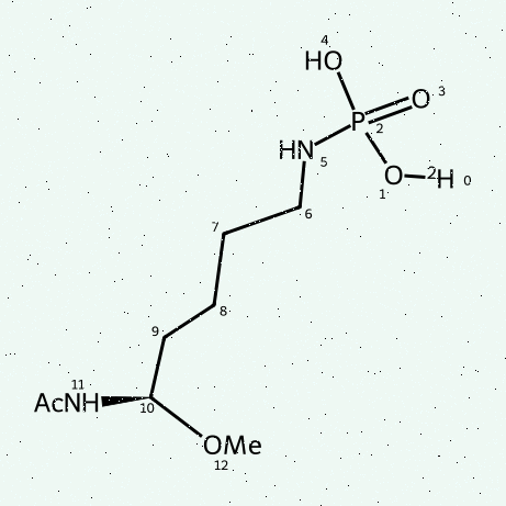 [2H]OP(=O)(O)NCCCC[C@H](NC(C)=O)OC